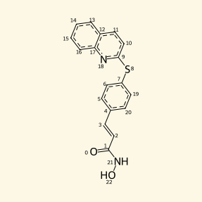 O=C(/C=C/c1ccc(Sc2ccc3ccccc3n2)cc1)NO